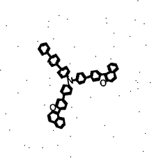 c1ccc(-c2ccc(-c3ccc(N(c4ccc(-c5ccc6c(c5)oc5ccc7ccccc7c56)cc4)c4ccc(-c5ccc6c(c5)oc5ccc7ccccc7c56)cc4)cc3)cc2)cc1